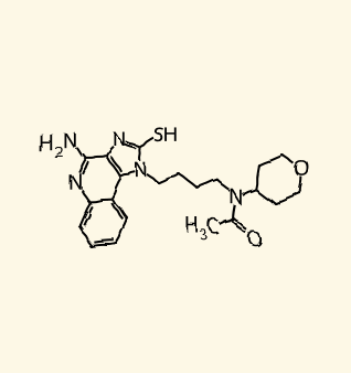 CC(=O)N(CCCCn1c(S)nc2c(N)nc3ccccc3c21)C1CCOCC1